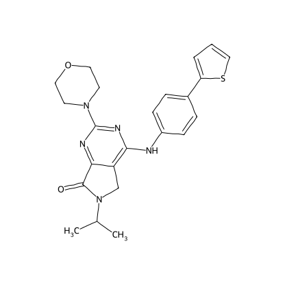 CC(C)N1Cc2c(Nc3ccc(-c4cccs4)cc3)nc(N3CCOCC3)nc2C1=O